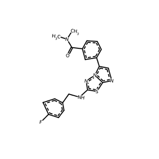 CN(C)C(=O)c1cccc(-c2cnc3sc(NCc4ccc(F)cc4)nn23)c1